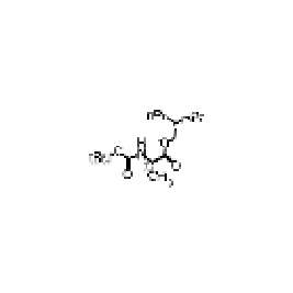 CCCC(CCC)COC(=O)[C@H](C)NC(=O)OC(C)(C)C